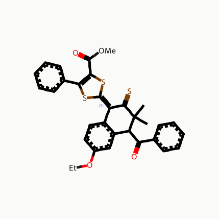 CCOc1ccc2c(c1)C(C(=O)c1ccccc1)C(C)(C)C(=S)/C2=C1\SC(C(=O)OC)=C(c2ccccc2)S1